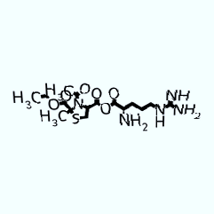 CCOC(=O)C1(C)SCC(C(=O)OC(=O)[C@@H](N)CCCNC(=N)N)N1C(C)=O